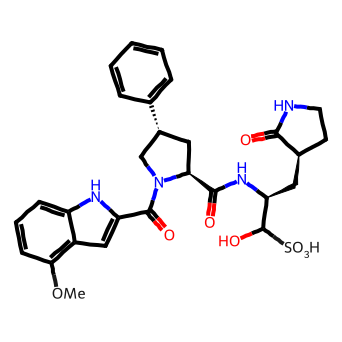 COc1cccc2[nH]c(C(=O)N3C[C@H](c4ccccc4)C[C@H]3C(=O)N[C@@H](C[C@@H]3CCNC3=O)C(O)S(=O)(=O)O)cc12